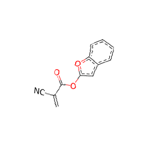 C=C(C#N)C(=O)Oc1cc2ccccc2o1